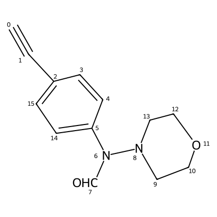 C#Cc1ccc(N(C=O)N2CCOCC2)cc1